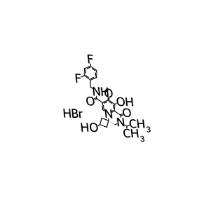 Br.CC(C)N1C[C@]2(C[C@H](O)C2)n2cc(C(=O)NCc3ccc(F)cc3F)c(=O)c(O)c2C1=O